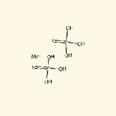 OP(O)(O)=S.OP(O)(O)=S.[Mn]